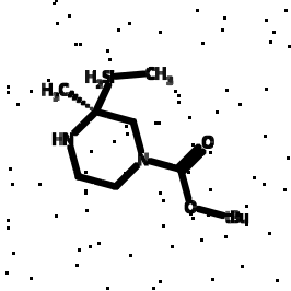 C[SiH2][C@@]1(C)CN(C(=O)OC(C)(C)C)CCN1